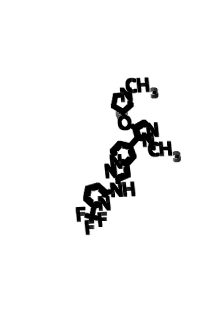 CN1CC[C@H](Oc2cnn(C)c2-c2ccn3nc(Nc4cccc(C(F)(F)F)n4)cc3c2)C1